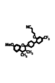 COc1ccc([C@H](C)[C@@H](C)C(=O)N2CCC(C3CC=C(C(F)(F)F)C=C3OCCCC#N)CC2)cc1